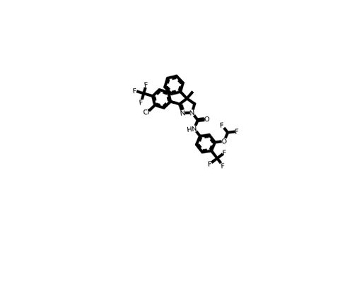 CC1(c2ccccc2)CN(C(=O)Nc2ccc(C(F)(F)F)c(OC(F)F)c2)N=C1c1ccc(C(F)(F)F)c(Cl)c1